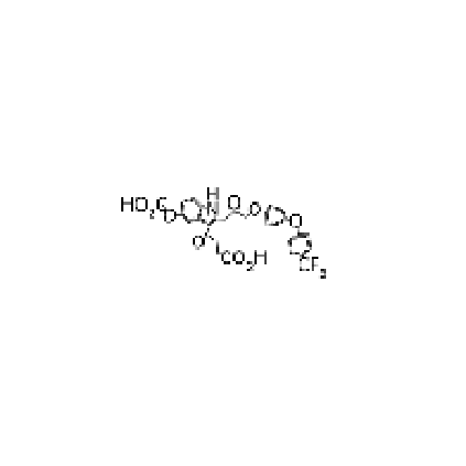 O=C(O)CCC(=O)c1c(CC(=O)COc2ccc(Oc3ccc(C(F)(F)F)cc3)cc2)[nH]c2ccc(OC(=O)O)cc12